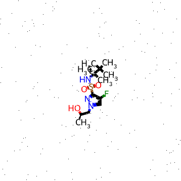 C[C@@H](O)Cn1cc(F)c(S(=O)(=O)N[Si](C)(C)C(C)(C)C)n1